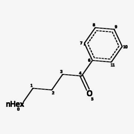 CCCCCCCCCC(=O)c1[c]cccc1